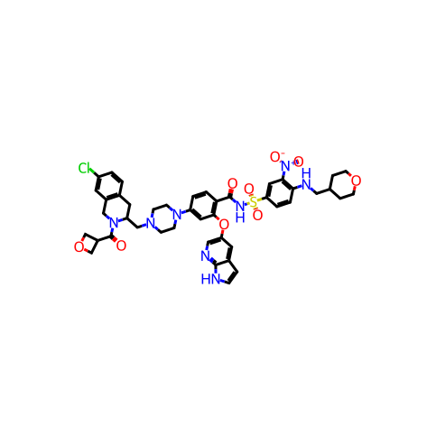 O=C(NS(=O)(=O)c1ccc(NCC2CCOCC2)c([N+](=O)[O-])c1)c1ccc(N2CCN(CC3Cc4ccc(Cl)cc4CN3C(=O)C3COC3)CC2)cc1Oc1cnc2[nH]ccc2c1